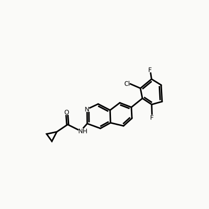 O=C(Nc1cc2ccc(-c3c(F)ccc(F)c3Cl)cc2cn1)C1CC1